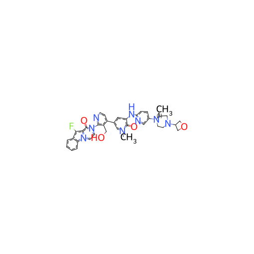 C[C@H]1CN(C2COC2)CCN1c1ccc(Nc2cc(-c3ccnc(-n4ccn5c(c(F)c6ccccc65)c4=O)c3CO)cn(C)c2=O)nc1